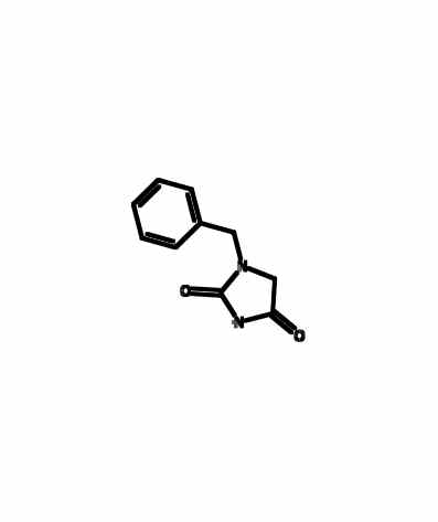 O=C1CN(Cc2ccccc2)C(=O)[N]1